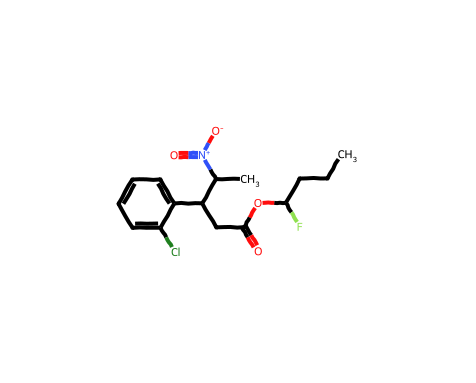 CCCC(F)OC(=O)CC(c1ccccc1Cl)C(C)[N+](=O)[O-]